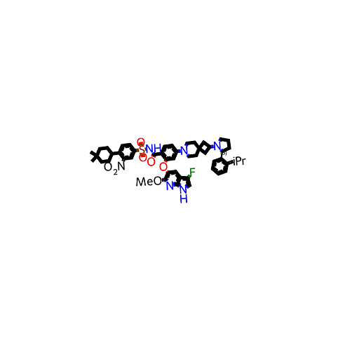 COc1nc2[nH]cc(F)c2cc1Oc1cc(N2CCC3(CC2)CC(N2CCC[C@H]2c2ccccc2C(C)C)C3)ccc1C(=O)NS(=O)(=O)c1ccc(C2CCC(C)(C)CC2)c([N+](=O)[O-])c1